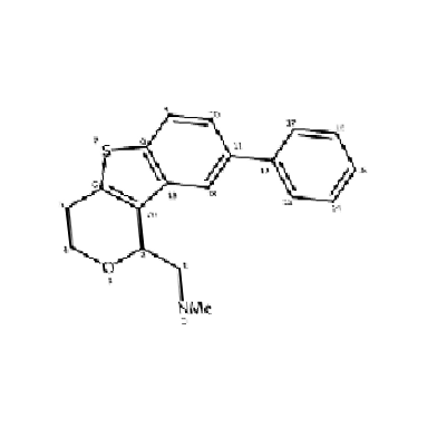 CNCC1OCCc2sc3ccc(-c4ccccc4)cc3c21